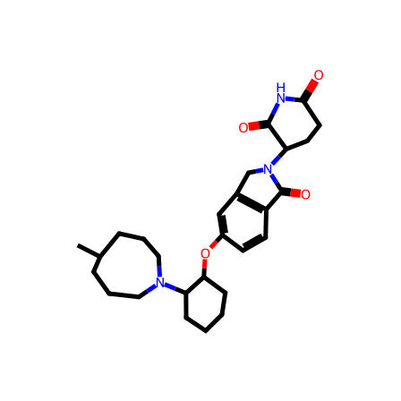 CC1CCCN(C2CCCCC2Oc2ccc3c(c2)CN(C2CCC(=O)NC2=O)C3=O)CCC1